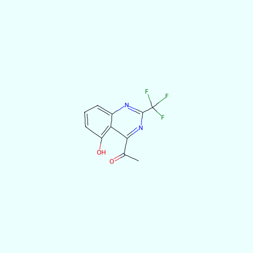 CC(=O)c1nc(C(F)(F)F)nc2cccc(O)c12